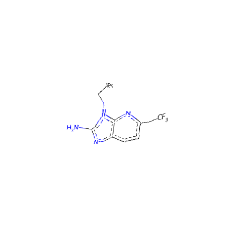 CC(C)Cn1c(N)nc2ccc(C(F)(F)F)nc21